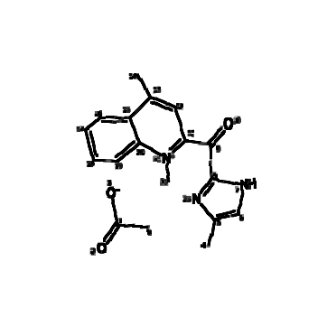 CC(=O)[O-].Cc1c[nH]c(C(=O)c2cc(C)c3ccccc3[n+]2C)n1